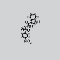 O=C(NNS(=O)(=O)c1ccc([N+](=O)[O-])cc1)c1c[nH]c2ccccc12